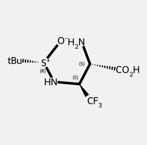 CC(C)(C)[S@+]([O-])N[C@@H]([C@H](N)C(=O)O)C(F)(F)F